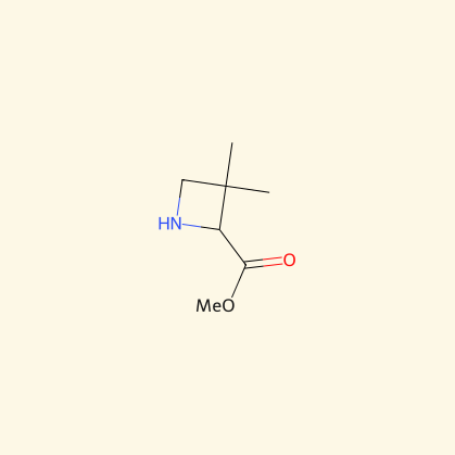 COC(=O)C1NCC1(C)C